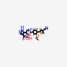 CCOc1cc(C(=O)N(C)Cc2c[n+](O)c(C)c3cn[nH]c23)ccc1-c1cc(C#N)cs1